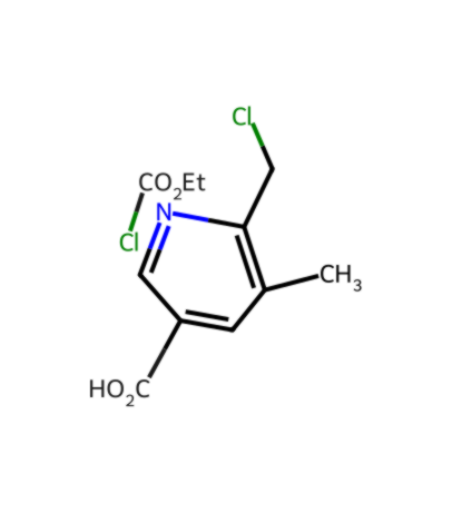 CCOC(=O)Cl.Cc1cc(C(=O)O)cnc1CCl